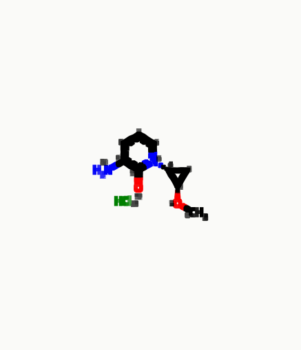 CO[C@@H]1C[C@H]1n1cccc(N)c1=O.Cl